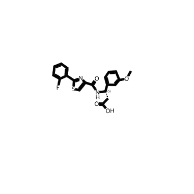 COc1cccc([C@H](CC(=O)O)NC(=O)c2csc(-c3ccccc3F)n2)c1